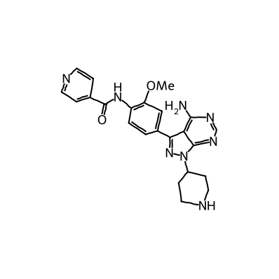 COc1cc(-c2nn(C3CCNCC3)c3ncnc(N)c23)ccc1NC(=O)c1ccncc1